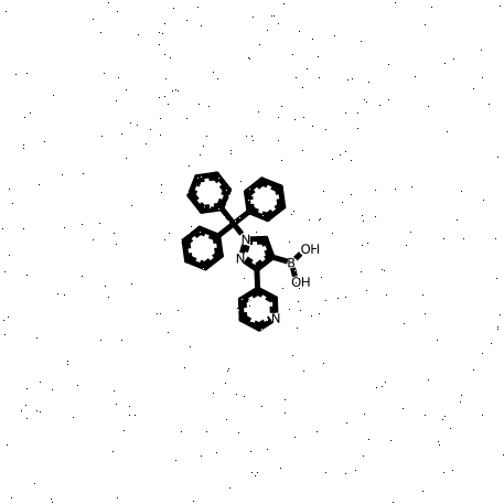 OB(O)c1cn(C(c2ccccc2)(c2ccccc2)c2ccccc2)nc1-c1cccnc1